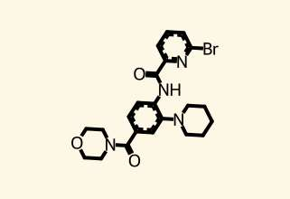 O=C(Nc1ccc(C(=O)N2CCOCC2)cc1N1CCCCC1)c1cccc(Br)n1